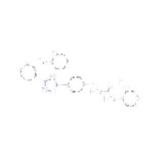 O=C(NCc1ccc(-c2nnc3n2-c2cccnc2Nc2ccccc2-3)cc1)Nc1ccccc1F